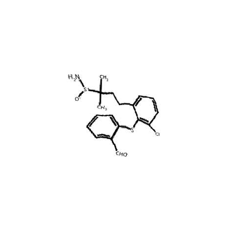 CC(C)(CCc1cccc(Cl)c1Sc1ccccc1C=O)[S+](N)[O-]